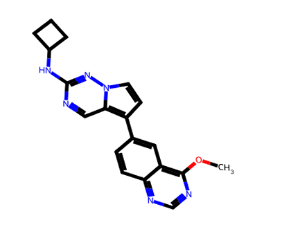 COc1ncnc2ccc(-c3ccn4nc(NC5CCC5)ncc34)cc12